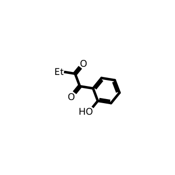 CCC(=O)C(=O)c1ccccc1O